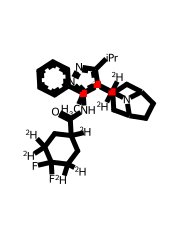 [2H]C1(C(=O)NC(CC([2H])([2H])N2C3CCC2CC(n2c(C)nnc2C(C)C)C3)c2ccccc2)CC([2H])([2H])C(F)(F)C([2H])([2H])C1